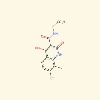 CCc1ccc2c(O)c(C(=O)NCC(=O)O)c(=O)[nH]c2c1C